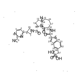 N#Cc1nccc(C2CN(C(=O)[C@@H]3CC[C@@H]4CCC[C@H](NC(=O)c5cc6cc(CP(=O)(O)O)ccc6s5)C(=O)N43)C2)n1